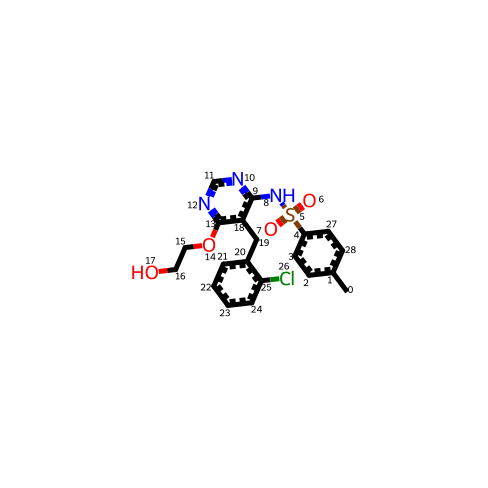 Cc1ccc(S(=O)(=O)Nc2ncnc(OCCO)c2Cc2ccccc2Cl)cc1